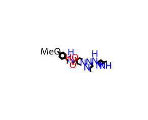 COc1ccc([C@H](C)NC(=O)C2(O)CCN(c3nc(C)cc(Nc4cc(C)[nH]n4)n3)CC2)cc1